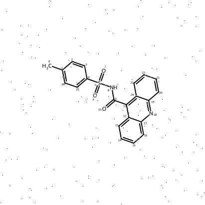 Cc1ccc(S(=O)(=O)NC(=O)c2c3ccccc3nc3ccccc23)cc1